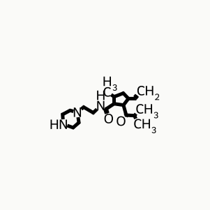 C=CC1CC(C)C(C(=O)NCCN2CCNCC2)C1C(=O)C(C)C